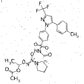 CC(=O)OC(C)ON=[N+]([O-])N1CCC[C@H]1C(=O)NS(=O)(=O)c1ccc(-n2nc(C(F)(F)F)cc2-c2ccc(C)cc2)cc1